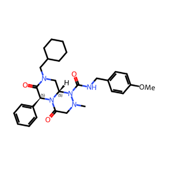 COc1ccc(CNC(=O)N2[C@H]3CN(CC4CCCCC4)C(=O)[C@H](c4ccccc4)N3C(=O)CN2C)cc1